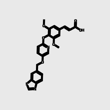 COc1cc(C=CC(=O)O)cc(OC)c1Oc1ccc(OCc2ccc3ncsc3c2)cn1